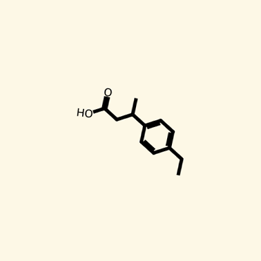 CCc1ccc(C(C)CC(=O)O)cc1